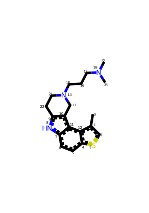 Cc1csc2ccc3[nH]c4c(c3c12)CN(CCCN(C)C)CC4